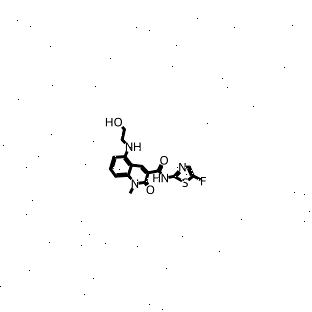 Cn1c(=O)c(C(=O)Nc2ncc(F)s2)cc2c(NCCO)cccc21